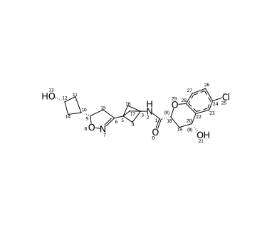 O=C(NC12CC(C3=NOC([C@H]4C[C@@H](O)C4)C3)(C1)C2)[C@H]1C[C@@H](O)c2cc(Cl)ccc2O1